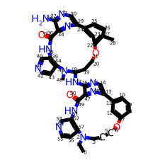 CCN1CCCOc2cccc(c2)-c2cnc(NC3CCOc4cc(ccc4C)-c4cnc(N)c(n4)C(=O)Nc4cnccc4N3C)c(n2)C(=O)Nc2cnccc21